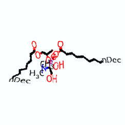 CCCCCCCCCCCCCCCCCC(=O)OCC(COC(=O)CCCCCCCCCCCCCCCCC)OP(=O)(O)C(CO)N(C)C